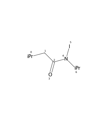 CC(C)CC(=O)N(I)C(C)C